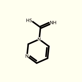 N=C(S)N1C=CC=NC1